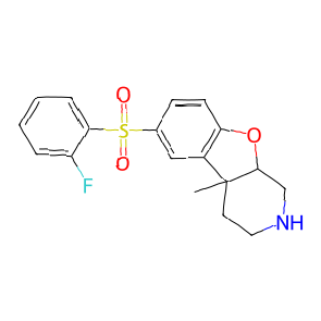 CC12CCNCC1Oc1ccc(S(=O)(=O)c3ccccc3F)cc12